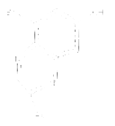 CC(=O)c1cnc2c(Br)cc(C)cc2n1